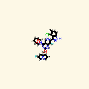 Cc1ccc2[nH]nc(-c3ncc4c(N5CC6CCC(C5)O6)nc(OC[C@@]56CCCN5C[C@H](F)C6)nc4c3F)c2c1Cl